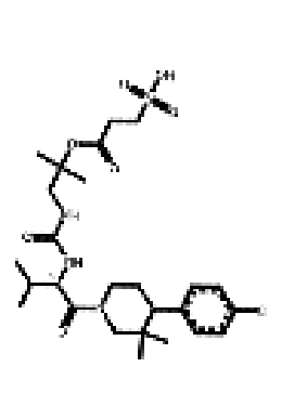 CC(C)[C@@H](NC(=O)NCC(C)(C)OC(=O)CCS(=O)(=O)O)C(=O)N1CCC(c2ccc(Cl)cc2)C(C)(C)C1